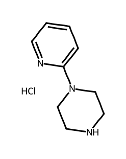 Cl.c1ccc(N2CCNCC2)nc1